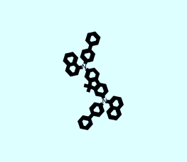 CC1(C)C2=C(CCC(N(c3ccc(-c4ccccc4)cc3)c3cccc4ccccc34)=C2)c2ccc(N(c3ccc(-c4ccccc4)cc3)c3cccc4ccccc34)cc21